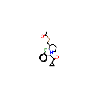 CC(=O)SCC1CCCN(C(C(=O)C2CC2)c2ccccc2F)C1